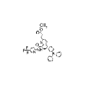 CCOC(=O)CCc1ccc2cccc(C(=O)Nc3ccc(C(F)(F)F)cn3)c2n1.c1ccc(P(c2ccccc2)c2ccccc2)cc1